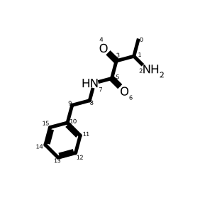 CC(N)C(=O)C(=O)NCCc1ccccc1